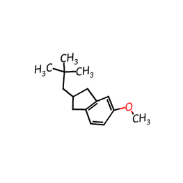 COc1ccc2c(c1)CC(CC(C)(C)C)C2